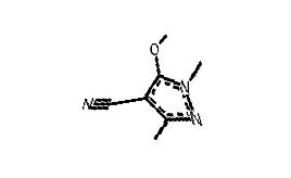 COc1c(C#N)c(C)nn1C